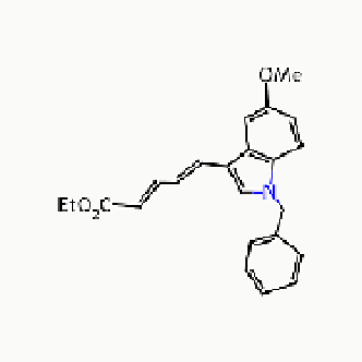 CCOC(=O)C=CC=Cc1cn(Cc2ccccc2)c2ccc(OC)cc12